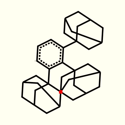 [c]1ccc(C23CC4CC(CC(C4)C2)C3)c(C23CC4CC(CC(C4)C2)C3)c1C12CC3CC(CC(C3)C1)C2